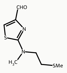 CSCCN(C)c1nc(C=O)cs1